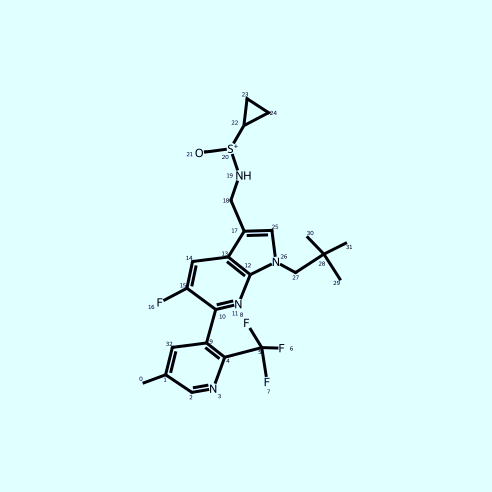 Cc1cnc(C(F)(F)F)c(-c2nc3c(cc2F)c(CN[S+]([O-])C2CC2)cn3CC(C)(C)C)c1